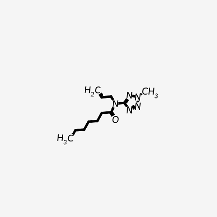 C=CCN(C(=O)CCCCCC)c1nnn(C)n1